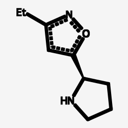 CCc1cc([C@H]2CCCN2)on1